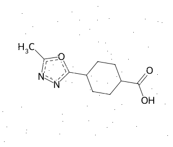 Cc1nnc(C2CCC(C(=O)O)CC2)o1